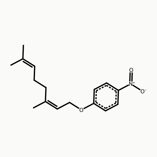 CC(C)=CCCC(C)=CCOc1ccc([N+](=O)[O-])cc1